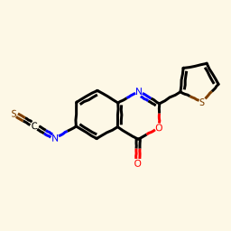 O=c1oc(-c2cccs2)nc2ccc(N=C=S)cc12